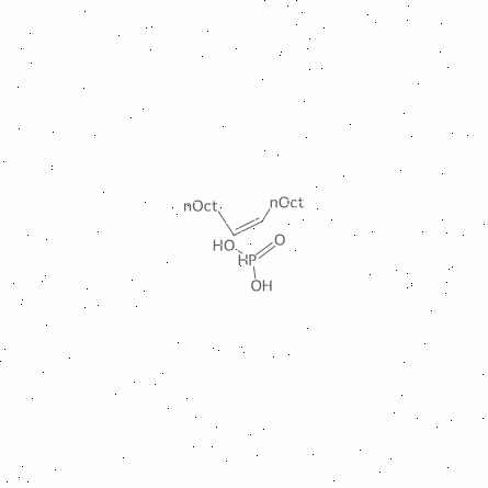 CCCCCCCC/C=C\CCCCCCCC.O=[PH](O)O